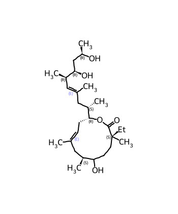 CC[C@@]1(C)CCC(O)[C@@H](C)C/C(C)=C/C[C@H]([C@@H](C)C/C(C)=C/[C@@H](C)[C@H](O)C[C@@H](C)O)OC1=O